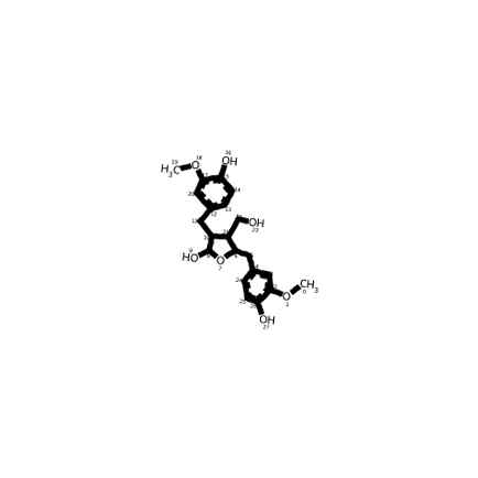 COc1cc(CC2OC(O)C(Cc3ccc(O)c(OC)c3)C2CO)ccc1O